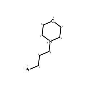 CC(C)CCCN1CCOCC1